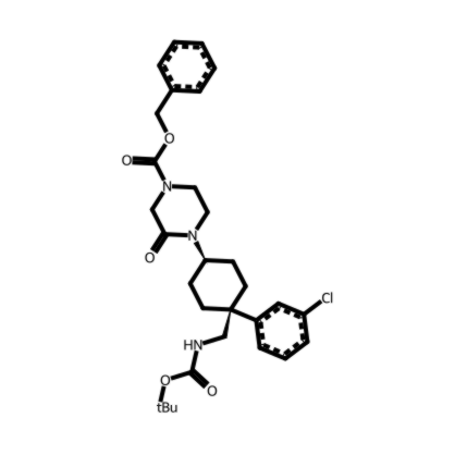 CC(C)(C)OC(=O)NC[C@]1(c2cccc(Cl)c2)CC[C@H](N2CCN(C(=O)OCc3ccccc3)CC2=O)CC1